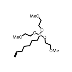 C=CCCCCC[Si](OCCOC)(OCCOC)OCCOC